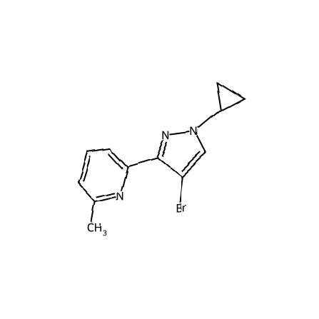 Cc1cccc(-c2nn(C3CC3)cc2Br)n1